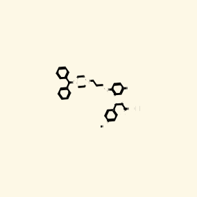 COc1ccc(C(Sc2cc(Cl)ccc2NCCCN2CCN(C(c3ccccc3)c3ccccc3)CC2)C(O)C(=O)O)cc1